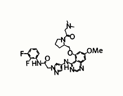 COc1cc(OC[C@H]2CCCN2C(=O)CN(C)C)c2c(Nc3cnn(CC(=O)Nc4cccc(F)c4F)c3)ncnc2c1